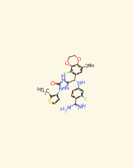 COc1cc([C@H](Nc2ccc(C(=N)N)c(F)c2)c2nn(-c3ccsc3C(=O)O)c(=O)[nH]2)c(F)c2c1OCCO2